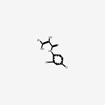 CC(C)C(O)=C(C#N)C(=S)Nc1ccc(Cl)cc1Cl